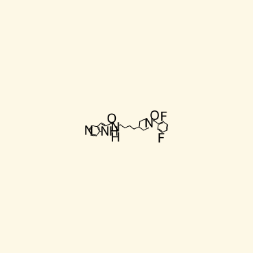 O=C(NCCCCC1CCN(C(=O)c2cc(F)ccc2F)CC1)c1cc2cnccc2[nH]1